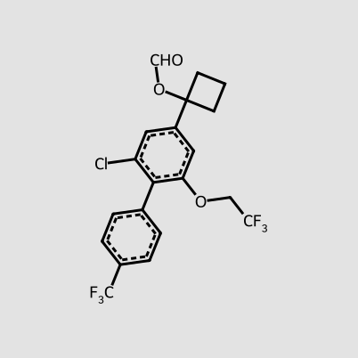 O=COC1(c2cc(Cl)c(-c3ccc(C(F)(F)F)cc3)c(OCC(F)(F)F)c2)CCC1